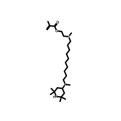 C=C(C)C(=O)OCCN(C)CCCCCCCCCCN(C)C1CC(C)(C)NC(C)(C)C1